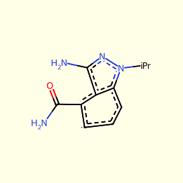 CC(C)n1nc(N)c2c(C(N)=O)[c]ccc21